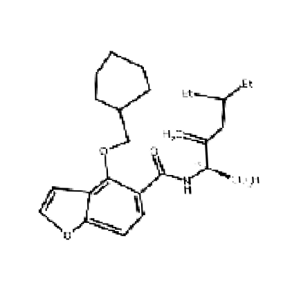 C=C(CC(CC)CC)[C@H](NC(=O)c1ccc2occc2c1OCC1CCCCC1)C(=O)O